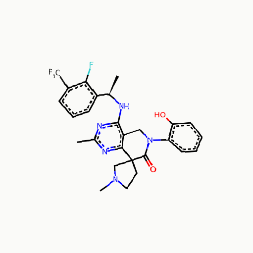 Cc1nc(N[C@H](C)c2cccc(C(F)(F)F)c2F)c2c(n1)C1(CCN(C)C1)C(=O)N(c1ccccc1O)C2